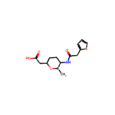 CB1OC(CC(=O)O)CCC1NC(=O)Cc1cccs1